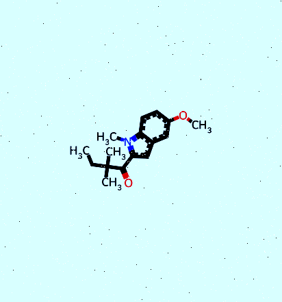 CCC(C)(C)C(=O)c1cc2cc(OC)ccc2n1C